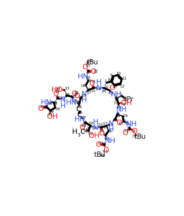 CC(C)C[C@@H]1NC(=O)[C@@H](Cc2ccccc2)NC(=O)[C@H](CCNC(=O)OC(C)(C)C)NC(=O)[C@@H](NC(=O)[C@@H](CO)NC(=O)[C@@H]2C[C@@H](O)C(=O)N2)CCNC(=O)[C@H]([C@@H](C)O)NC(=O)[C@H](CCNC(=O)OC(C)(C)C)NC(=O)[C@H](CCNC(=O)OC(C)(C)C)NC1O